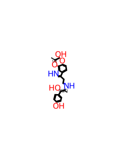 C[C@H](Oc1cccc2c(CCN[C@@H](C)[C@@H](O)c3ccc(O)cc3)c[nH]c12)C(=O)O